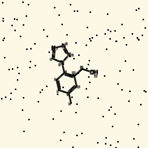 Cc1ccc(-n2cnnn2)c(CO)c1